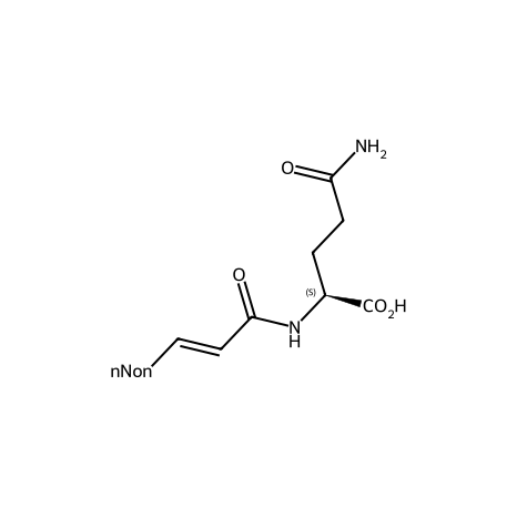 CCCCCCCCCC=CC(=O)N[C@@H](CCC(N)=O)C(=O)O